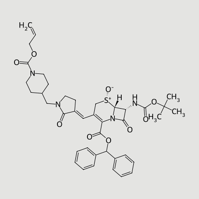 C=CCOC(=O)N1CCC(CN2CCC(=CC3=C(C(=O)OC(c4ccccc4)c4ccccc4)N4C(=O)[C@@H](NC(=O)OC(C)(C)C)[C@H]4[S@@+]([O-])C3)C2=O)CC1